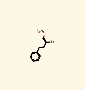 CC(C)C(=CO[SiH3])CCc1ccccc1